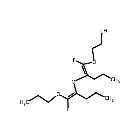 CCCOC(F)=C(CCC)OC(CCC)=C(F)OCCC